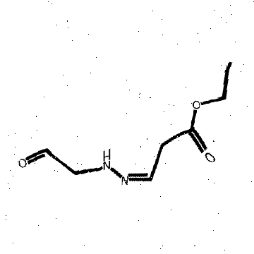 CCOC(=O)C/C=N\NCC=O